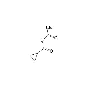 CC(C)(C)C(=O)OC(=O)C1CC1